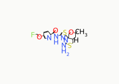 C[C@H]1C[C@H]2CSC(N)=NC2(c2nc(NC(=O)c3ccc(OCF)cn3)cs2)CO1